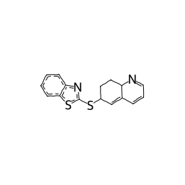 C1=CC2=CC(Sc3nc4ccccc4s3)CCC2N=C1